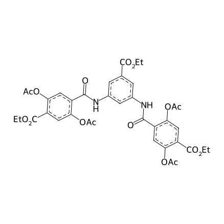 CCOC(=O)c1cc(NC(=O)c2cc(OC(C)=O)c(C(=O)OCC)cc2OC(C)=O)cc(NC(=O)c2cc(OC(C)=O)c(C(=O)OCC)cc2OC(C)=O)c1